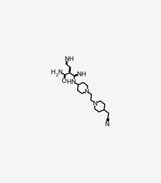 N#CCC1CCN(CCN2CCC(NC(=N)/C(=C/C=N)C(N)=O)CC2)CC1